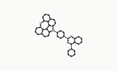 c1ccc(-c2nc(-c3ccc(-n4c5ccc6cccc7sc8cccc9ccc4c(c98)c5c67)cc3)nc3ccccc23)cc1